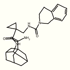 NC(=O)C12CC3CC(C1)C(NC(=O)C1(CNC(=O)N4CCc5ccccc5C4)CC1)C(C3)C2